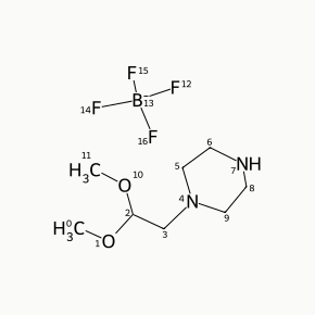 COC(CN1CCNCC1)OC.F[B-](F)(F)F